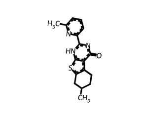 Cc1cccc(-c2nc(=O)c3c4c(sc3[nH]2)CC(C)CC4)n1